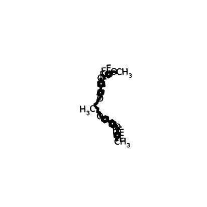 CCOc1ccc(C(F)(F)Oc2ccc(-c3ccc(OCCCC(C)CCCOc4ccc(-c5ccc(OC(F)(F)c6ccc(C)c(F)c6F)cc5)cc4)cc3)cc2)c(F)c1F